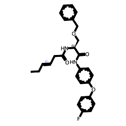 CC/C=C/CC(=O)N[C@@H](COCc1ccccc1)C(=O)Nc1ccc(Oc2ccc(F)cc2)cc1